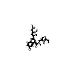 CCc1ncc(CN(C)C(=O)c2nc(-c3cc(CNC)n(C)n3)nc3ccc(Cl)cc23)n1C